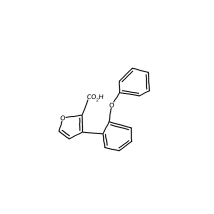 O=C(O)c1occc1-c1ccccc1Oc1ccccc1